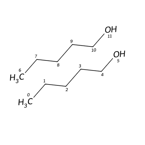 CCCCCO.CCCCCO